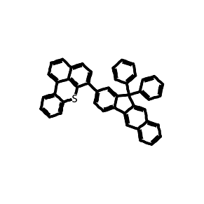 c1ccc(C2(c3ccccc3)c3cc(-c4ccc5cccc6c5c4Sc4ccccc4-6)ccc3-c3cc4ccccc4cc32)cc1